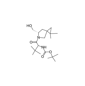 CC(C)(C)OC(=O)NC(C(=O)N1CC2(C[C@H]1CO)CC2(C)C)C(C)(C)C